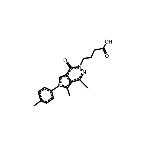 Cc1ccc(-n2cc3c(=O)n(CCCC(=O)O)nc(C)c3c2C)cc1